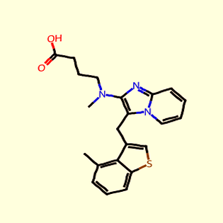 Cc1cccc2scc(Cc3c(N(C)CCCC(=O)O)nc4ccccn34)c12